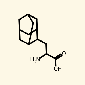 NC(CC1C2CC3CC(C2)CC1C3)C(=O)O